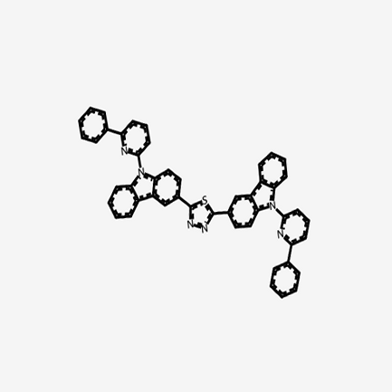 c1ccc(-c2cccc(-n3c4ccccc4c4cc(-c5nnc(-c6ccc7c(c6)c6ccccc6n7-c6cccc(-c7ccccc7)n6)s5)ccc43)n2)cc1